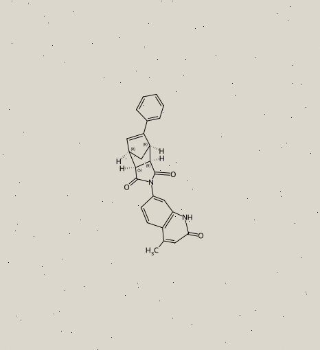 Cc1cc(=O)[nH]c2cc(N3C(=O)[C@@H]4[C@H](C3=O)[C@H]3C[C@@H]4C=C3c3ccccc3)ccc12